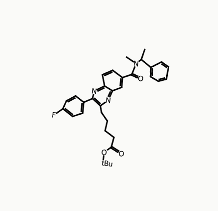 CC(c1ccccc1)N(C)C(=O)c1ccc2nc(-c3ccc(F)cc3)c(CCCCC(=O)OC(C)(C)C)nc2c1